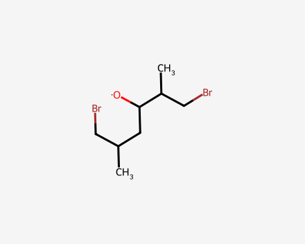 CC(CBr)CC([O])C(C)CBr